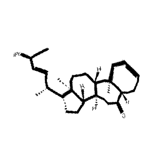 CC(C)C(C)/C=C/[C@@H](C)[C@H]1CC[C@H]2[C@@H]3CC(=O)[C@H]4CC=CC[C@]4(C)[C@H]3CC[C@]12C